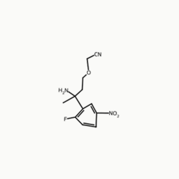 CC(N)(CCOCC#N)c1cc([N+](=O)[O-])ccc1F